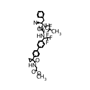 COC(=O)CNC(=O)C1(c2ccc(-c3ccc([C@H](N[C@@H](CC(C)(C)F)C(=O)NC(C#N)Cc4ccccc4)C(F)(F)F)cc3)cc2)CC1